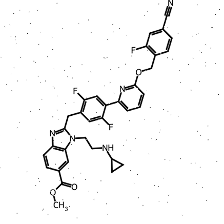 COC(=O)c1ccc2nc(Cc3cc(F)c(-c4cccc(OCc5ccc(C#N)cc5F)n4)cc3F)n(CCNC3CC3)c2c1